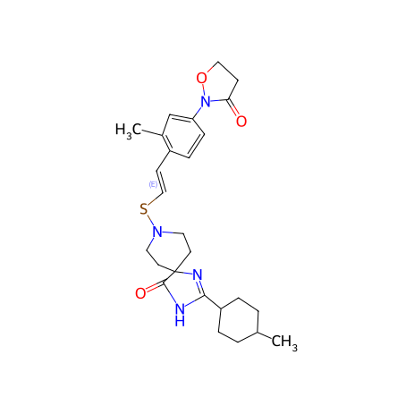 Cc1cc(N2OCCC2=O)ccc1/C=C/SN1CCC2(CC1)N=C(C1CCC(C)CC1)NC2=O